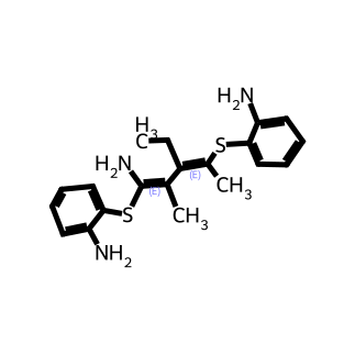 CCC(=C(/C)Sc1ccccc1N)/C(C)=C(\N)Sc1ccccc1N